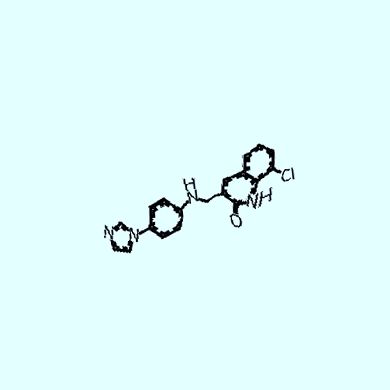 O=c1[nH]c2c(Cl)cccc2cc1CNc1ccc(-n2ccnc2)cc1